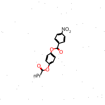 CCCC(=O)Oc1ccc(OC(=O)c2ccc([N+](=O)[O-])cc2)cc1